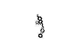 O=c1[nH]c(CCCN2CCN(c3ccccc3)CC2)cc2ccc(F)cc12